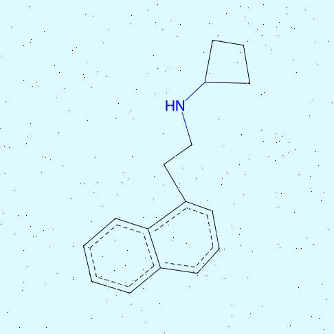 c1ccc2c(CCNC3CCC3)cccc2c1